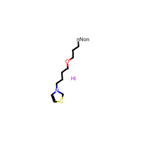 CCCCCCCCCCCCOCCCCN1C=CSC1.I